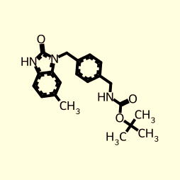 Cc1ccc2[nH]c(=O)n(Cc3ccc(CNC(=O)OC(C)(C)C)cc3)c2c1